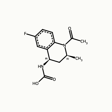 CC(=O)N1c2ccc(F)cc2[C@H](NC(=O)O)C[C@@H]1C